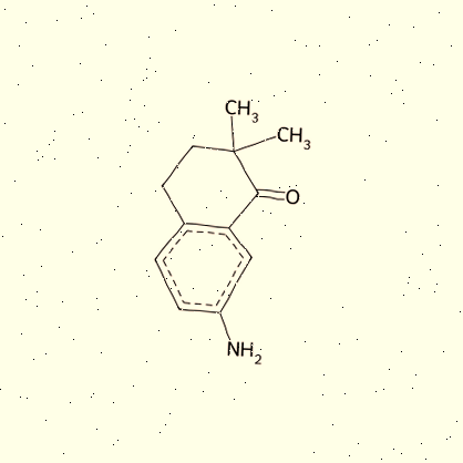 CC1(C)CCc2ccc(N)cc2C1=O